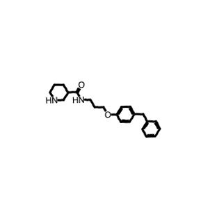 O=C(NCCCOc1ccc(Cc2ccccc2)cc1)C1CCCNC1